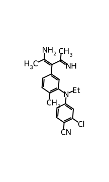 CCN(c1ccc(C#N)c(Cl)c1)c1cc(/C(C(C)=N)=C(\C)N)ccc1C